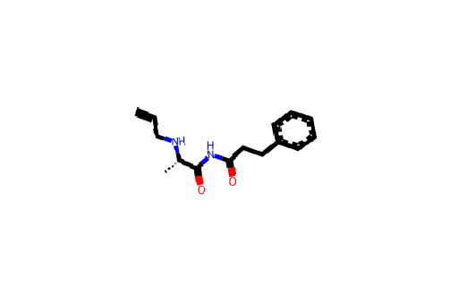 C=CCN[C@@H](C)C(=O)NC(=O)CCc1ccccc1